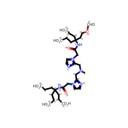 CN(Cc1nccn1CC(=O)NC(CCOC=O)(CCC(=O)O)CCC(=O)O)Cc1nccn1CC(=O)NC(CCC(=O)O)(CCC(=O)O)CCC(=O)O